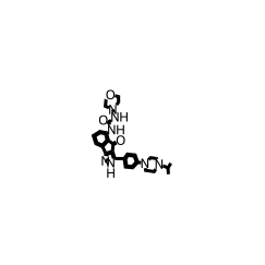 CC(C)N1CCN(c2ccc(-c3[nH]nc4c3C(=O)c3c(NC(=O)NN5CCOCC5)cccc3-4)cc2)CC1